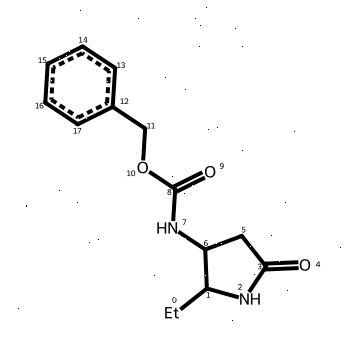 CCC1NC(=O)CC1NC(=O)OCc1ccccc1